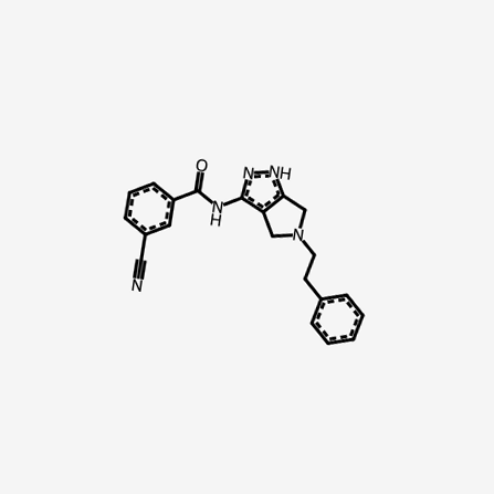 N#Cc1cccc(C(=O)Nc2n[nH]c3c2CN(CCc2ccccc2)C3)c1